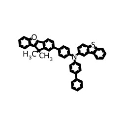 CC1(C)c2cc(-c3ccc(N(c4ccc(-c5ccccc5)cc4)c4ccc5sc6ccccc6c5c4)cc3)ccc2-c2oc3ccccc3c21